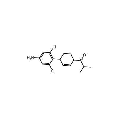 CC(C)[S+]([O-])C1C=CC(c2c(Cl)cc(N)cc2Cl)CC1